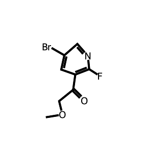 COCC(=O)c1cc(Br)cnc1F